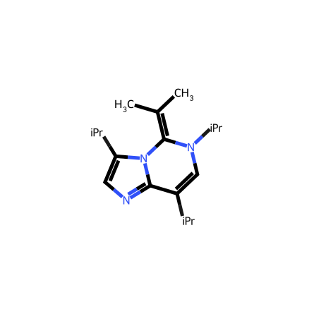 CC(C)=C1N(C(C)C)C=C(C(C)C)c2ncc(C(C)C)n21